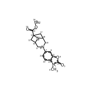 Cn1c(=O)oc2cc(N3CC4CC5(C(=O)OC(C)(C)C)CC(C3)N45)ccc21